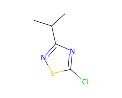 CC(C)c1nsc(Cl)n1